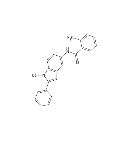 CCn1c(-c2ccccc2)cc2cc(NC(=O)c3ccccc3C(F)(F)F)ccc21